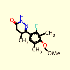 COCOc1c(C)cc(C2=NNC(=O)CC2C)c(F)c1C